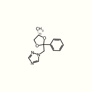 C[C@H]1COC(Cn2cncn2)(c2ccccc2)O1